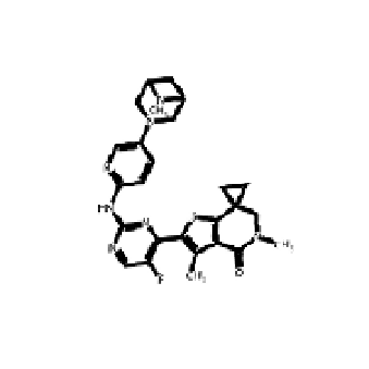 Cc1c(-c2nc(Nc3ccc(N4CC5CC(C4)N5C)cn3)ncc2F)sc2c1C(=O)N(C)CC21CC1